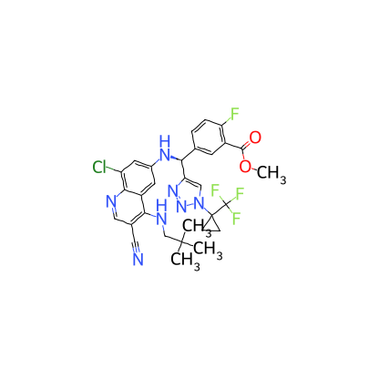 COC(=O)c1cc([C@H](Nc2cc(Cl)c3ncc(C#N)c(NCC(C)(C)C)c3c2)c2cn(C3(C(F)(F)F)CC3)nn2)ccc1F